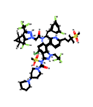 CC(C)(CCc1ccc(-c2ccc(Cl)c3c(N(C(=O)N4CCC(N5CCCCC5)CC4)S(C)(=O)=O)nn(CC(F)(F)F)c23)c([C@H](Cc2cc(F)cc(F)c2)NC(=O)Cn2nc(C(F)(F)F)c3c2C(F)(F)[C@@H]2C[C@H]32)n1)S(C)(=O)=O